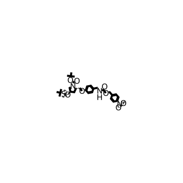 CC(C)(C)OC(=O)N1C[C@H](O[Si](C)(C)C(C)(C)C)C[C@H]1COc1ccc(CNC(=O)OCc2ccc([N+](=O)[O-])cc2)cc1